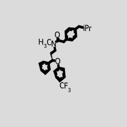 CC(C)Cc1ccc(CC(=O)N(C)CC[C@@H](Oc2ccc(C(F)(F)F)cc2)c2ccccc2)cc1